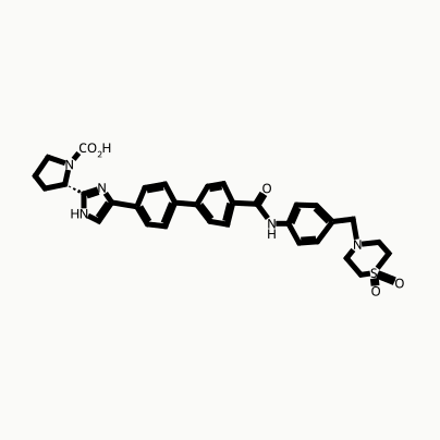 O=C(Nc1ccc(CN2CCS(=O)(=O)CC2)cc1)c1ccc(-c2ccc(-c3c[nH]c([C@@H]4CCCN4C(=O)O)n3)cc2)cc1